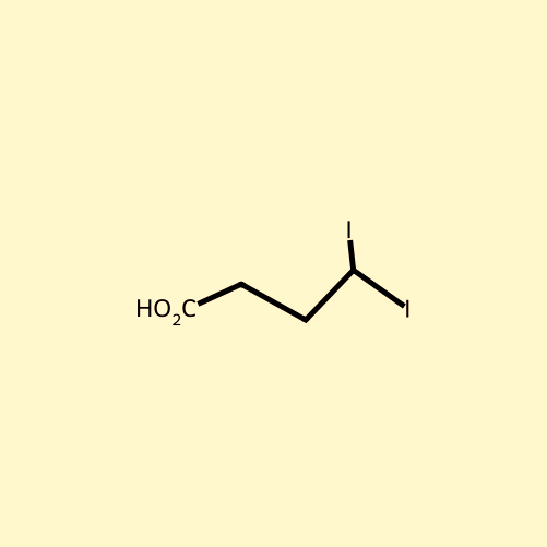 O=C(O)CCC(I)I